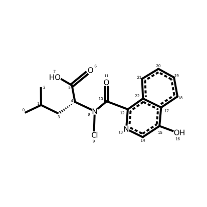 CC(C)C[C@H](C(=O)O)N(Cl)C(=O)c1ncc(O)c2ccccc12